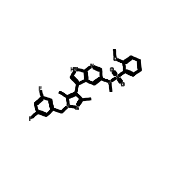 COc1ccccc1S(=O)(=O)N(C)c1cnc2[nH]cc(-c3c(C)nn(Cc4cc(F)cc(F)c4)c3C)c2c1